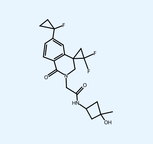 CC1(O)CC(NC(=O)CN2CC3(CC3(F)F)c3cc(C4(F)CC4)ccc3C2=O)C1